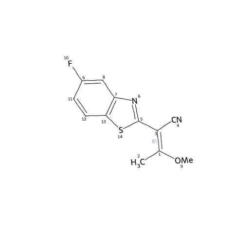 CO/C(C)=C(\C#N)c1nc2cc(F)ccc2s1